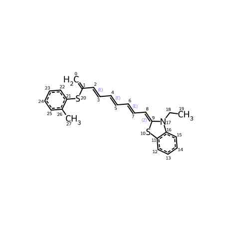 C=C(/C=C/C=C/C=C/C=C1\Sc2ccccc2N1CC)Sc1ccccc1C